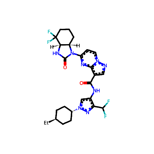 CC[C@H]1CC[C@H](n2cc(NC(=O)c3cnn4ccc(N5C(=O)N[C@@H]6[C@H]5CCCC6(F)F)nc34)c(C(F)F)n2)CC1